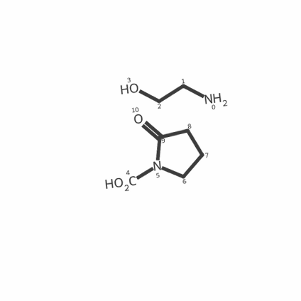 NCCO.O=C(O)N1CCCC1=O